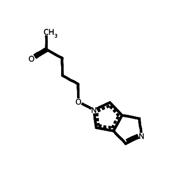 CC(=O)CCCOn1cc2c(c1)CN=C2